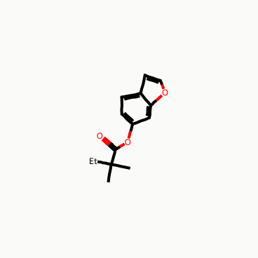 CCC(C)(C)C(=O)Oc1ccc2ccoc2c1